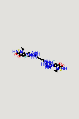 N=C(NCCCCCCNC(=N)NC(=N)N1CCN(c2cc3c(cc2F)C(=O)C2C(=O)NSC2N3C2CC2)CC1)NC(=N)N1CCN(c2cc3c(cc2F)C(=O)C2C(=O)NSC2N3C2CC2)CC1